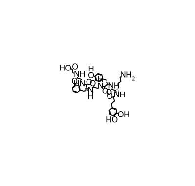 NCCCC[C@H](NC(=O)CCc1ccc(O)c(O)c1)C(=O)N[C@@H](Cc1ccc(O)cc1)C(=O)NCC(=O)N[C@@H](Cc1ccccc1)C(=O)NCC(=O)NCC(=O)O